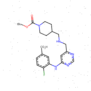 CC(C)(C)OC(=O)N1CCC(CNCc2cc(Nc3cc(C(=O)O)ccc3F)ncn2)CC1